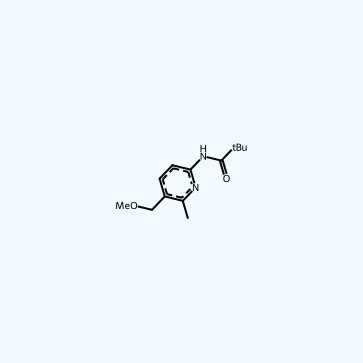 COCc1ccc(NC(=O)C(C)(C)C)nc1C